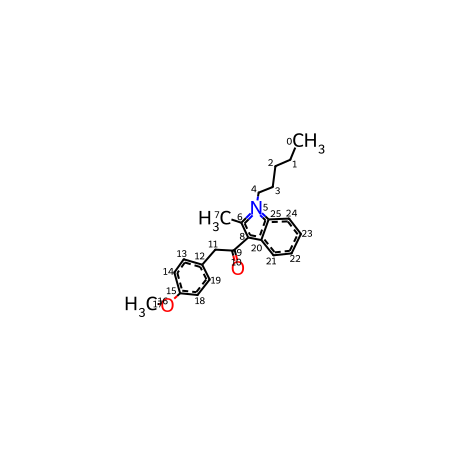 CCCCCn1c(C)c(C(=O)Cc2ccc(OC)cc2)c2ccccc21